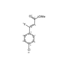 COC(=O)C=C(F)c1ccc(Cl)cc1